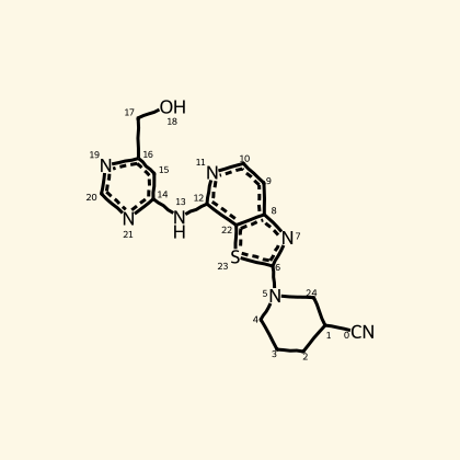 N#CC1CCCN(c2nc3ccnc(Nc4cc(CO)ncn4)c3s2)C1